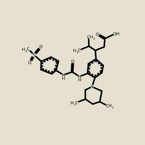 CC1CC(C)CN(c2ccc(C(CC(=O)O)C(C)C)cc2NC(=O)Nc2ccc(S(C)(=O)=O)cc2)C1